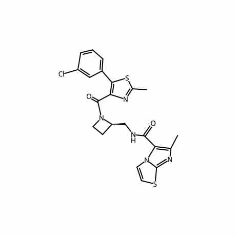 Cc1nc(C(=O)N2CC[C@@H]2CNC(=O)c2c(C)nc3sccn23)c(-c2cccc(Cl)c2)s1